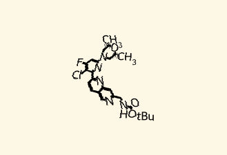 C[C@@H]1CN(c2cc(F)c(Cl)c(-c3ccc4cnc(CNC(=O)OC(C)(C)C)cc4n3)n2)C[C@H](C)O1